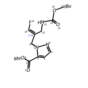 COC(=O)c1ccnn1C/C(=C/F)CNC(=O)OC(C)(C)C